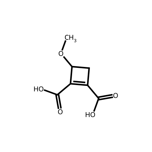 COC1CC(C(=O)O)=C1C(=O)O